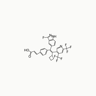 O=C(O)C=Cc1ccc(C(=C(c2cnc(C(F)(F)F)cc2C(F)(F)F)C2CCC2)c2ccc3[nH]nc(F)c3c2)cc1